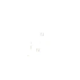 O=C1N(CC(F)(F)F)c2cccc(F)c2C12CCN(Cc1ccccc1)CC2